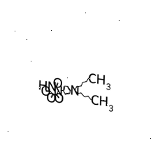 CCCCCCN(CCCCCC)c1ccc(N2C(=O)NC(=O)C(=O)C2=O)cc1